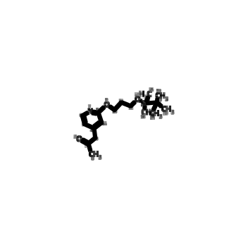 CC(=O)Cc1ccnc(OCCCO[Si](C)(C)C(C)(C)C)c1